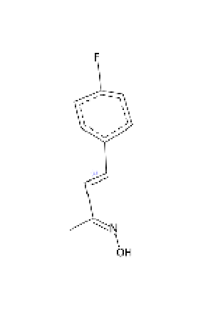 CC(/C=C/c1ccc(F)cc1)=NO